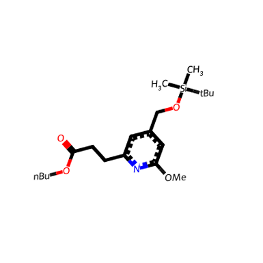 CCCCOC(=O)CCc1cc(CO[Si](C)(C)C(C)(C)C)cc(OC)n1